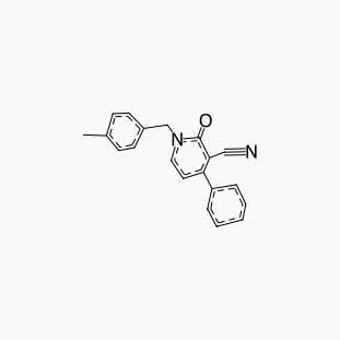 Cc1ccc(Cn2ccc(-c3ccccc3)c(C#N)c2=O)cc1